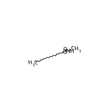 CCCCCCCCCCCCCCCCCCOC(=O)NCCC